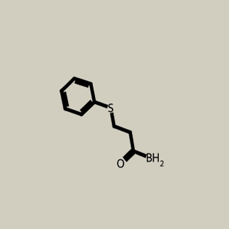 BC(=O)CCSc1ccccc1